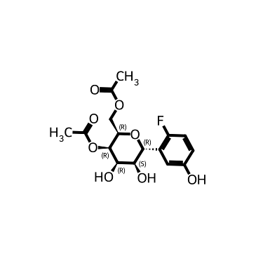 CC(=O)OC[C@H]1O[C@H](c2cc(O)ccc2F)[C@@H](O)[C@@H](O)[C@H]1OC(C)=O